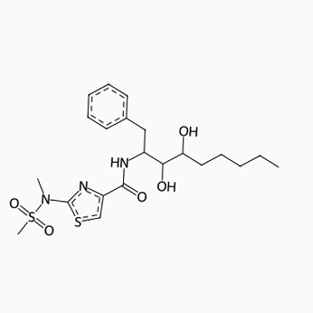 CCCCCC(O)C(O)C(Cc1ccccc1)NC(=O)c1csc(N(C)S(C)(=O)=O)n1